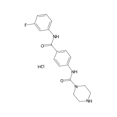 Cl.O=C(Nc1cccc(F)c1)c1ccc(NC(=O)N2CCNCC2)cc1